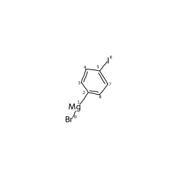 [Br][Mg][c]1ccc(I)cc1